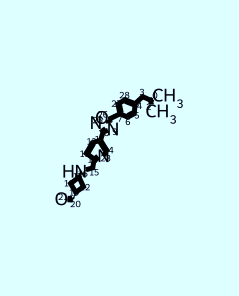 CC(C)Cc1ccc(-c2nc(-c3ccc(CN[C@H]4C[C@@H](C=O)C4)nc3)no2)cc1